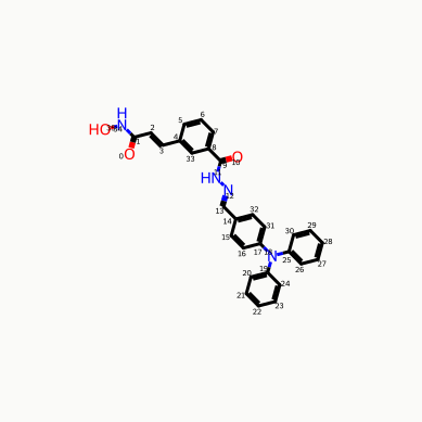 O=C(/C=C/c1cccc(C(=O)N/N=C/c2ccc(N(c3ccccc3)c3ccccc3)cc2)c1)NO